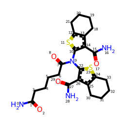 NC(=O)CCCCC(=O)N(c1sc2c(c1C(N)=O)CCCC2)c1sc2c(c1C(N)=O)CCCC2